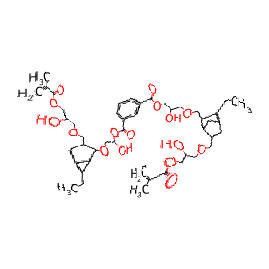 C=C(C)C(=O)OCC(O)COCC1CC2CC1C(COCC(O)COC(=O)c1cccc(C(=O)OC(O)COC3C(COCC(O)COC(=O)C(=C)C)CC4C(CC)C43)c1)C2CC